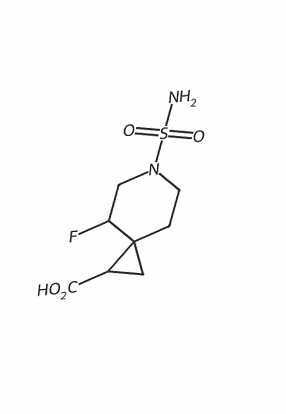 NS(=O)(=O)N1CCC2(CC2C(=O)O)C(F)C1